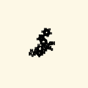 C[C@H]1CC[C@H]2[C@H](CN)[C@@H]([C@@]3(C)Cc4cnn(-c5ccccc5)c4C[C@@H]3CO)CC[C@]12C